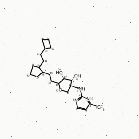 O[C@@H]1[C@@H](Nc2nccc(C(F)(F)F)n2)COC(CCC2CCCC2CCC2CCC2)[C@@H]1O